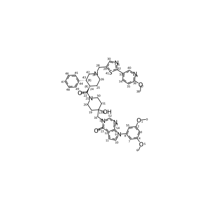 COc1cc(OC)cc(-n2ccc3c(=O)n(CC4(O)CCN(C(=O)[C@@H]5CCN(Cc6cnc(-c7ccc(OC)nc7)s6)C[C@H]5c5ccccc5)CC4)cnc32)c1